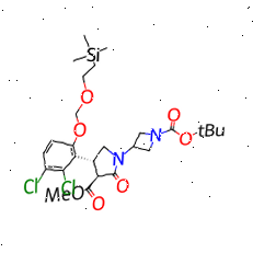 COC(=O)[C@@H]1C(=O)N(C2CN(C(=O)OC(C)(C)C)C2)C[C@H]1c1c(OCOCC[Si](C)(C)C)ccc(Cl)c1Cl